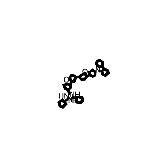 C1=C(n2c3ccccc3c3ccccc32)CCc2c1oc1cc(-c3ccc4oc5ccc(C6NC(c7ccccc7)NC(c7ccccc7)N6)cc5c4c3)ccc21